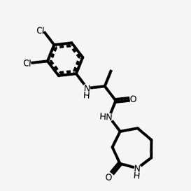 CC(Nc1ccc(Cl)c(Cl)c1)C(=O)NC1CCCNC(=O)C1